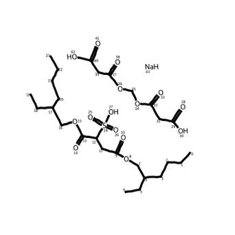 CCCCC(CC)COC(=O)CC(C(=O)OCC(CC)CCCC)S(=O)(=O)O.O=C(O)CC(=O)OCOC(=O)CC(=O)O.[NaH]